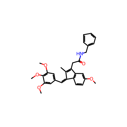 COc1ccc2c(c1)C(CC(=O)NCc1ccccc1)=C(C)C2=Cc1cc(OC)c(OC)c(OC)c1